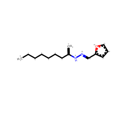 C=C(CCCCCCC)N/N=C/c1ccco1